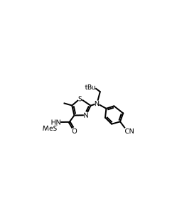 CSNC(=O)c1nc(N(CC(C)(C)C)c2ccc(C#N)cc2)sc1C